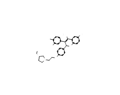 CC1=C(c2ccc(F)c(O)c2)C(c2ccc(OCCN3CC[C@@H](CF)C3)cc2)Oc2ccc(O)cc21